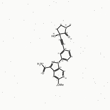 COc1cc2c(C(N)=O)nn(-c3cccc(C#C[C@]4(O)CCN(C)C4=O)c3)c2cn1